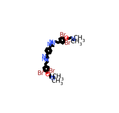 CN(C)CCOc1c(Br)cc(CCn2cc(-c3ccc(-c4cn(CCc5cc(Br)c(OCCN(C)C)c(Br)c5)nn4)cc3)nn2)cc1Br